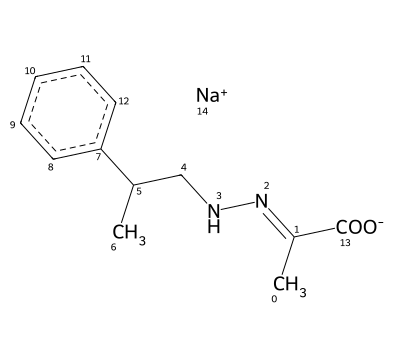 CC(=NNCC(C)c1ccccc1)C(=O)[O-].[Na+]